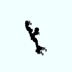 C=CC(=O)OCOc1ccc(C(=O)OCCc2ccc(OC(=O)c3ccc(OCCCCCC(COC(=O)C=C)OC(=O)C=C)cc3)c(/C=N/Nc3nc4ccccc4s3)c2)cc1